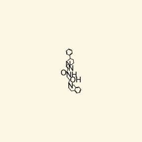 O=C(NCC(O)CN1CCc2ccccc2C1)c1cn2c(n1)CCC(c1ccccc1)C2